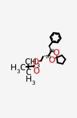 CC(C)(C)C(=O)OCC[C@H]1OC2(CCCC2)O[C@@H]1Cc1ccccc1